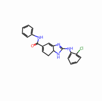 O=C(Nc1ccccc1)C1=CCC2NC(Nc3ccccc3Cl)=NC2=C1